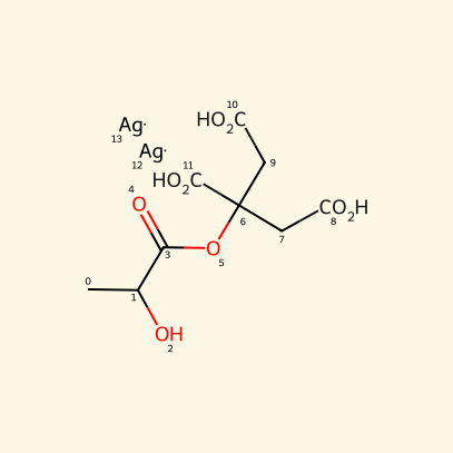 CC(O)C(=O)OC(CC(=O)O)(CC(=O)O)C(=O)O.[Ag].[Ag]